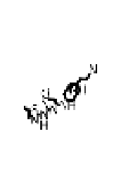 COc1cc(NC2CC3CC(CCC#N)CC(C2)N3)nc(Nc2ncc(C)s2)n1